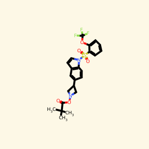 CC(C)(C)C(=O)ON1CC(c2ccc3c(ccn3S(=O)(=O)c3ccccc3OC(F)(F)F)c2)C1